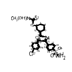 CN(O)C(=S)SC1CCCC(c2nc(-c3ccc(S(N)(=O)=O)cc3)c(-c3ccc(Cl)cc3)o2)C1